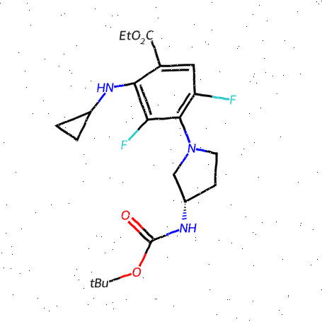 CCOC(=O)c1cc(F)c(N2CC[C@H](NC(=O)OC(C)(C)C)C2)c(F)c1NC1CC1